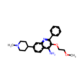 COCCOc1c(-c2ccccc2)nc2cc(C3CCN(C)CC3)ccc2c1N